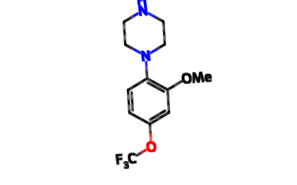 COc1cc(OC(F)(F)F)ccc1N1CCNCC1